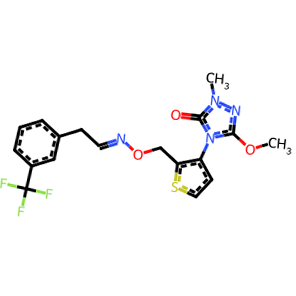 COc1nn(C)c(=O)n1-c1ccsc1CON=CCc1cccc(C(F)(F)F)c1